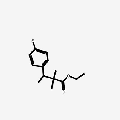 CCOC(=O)C(C)(C)C(C)c1ccc(F)cc1